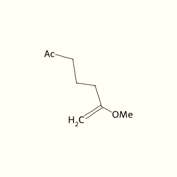 C=C(CCCC(C)=O)OC